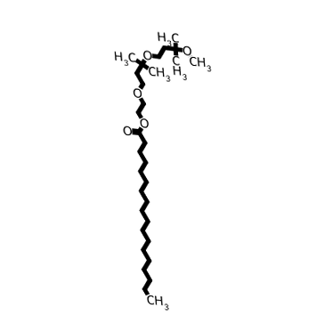 CCCCCCCCCCCCCCCCCC(=O)OCCOCCC(C)(C)OCCC(C)(C)OC